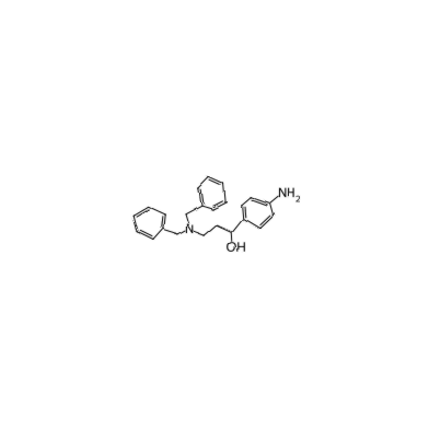 Nc1ccc(C(O)CCN(Cc2ccccc2)Cc2ccccc2)cc1